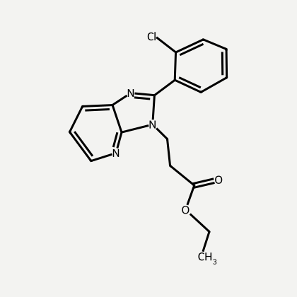 CCOC(=O)CCn1c(-c2ccccc2Cl)nc2cccnc21